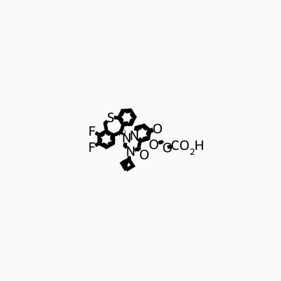 O=C(O)OCOc1c2n(ccc1=O)N([C@@H]1c3ccccc3SCc3c1ccc(F)c3F)CN(C13CC(C1)C3)C2=O